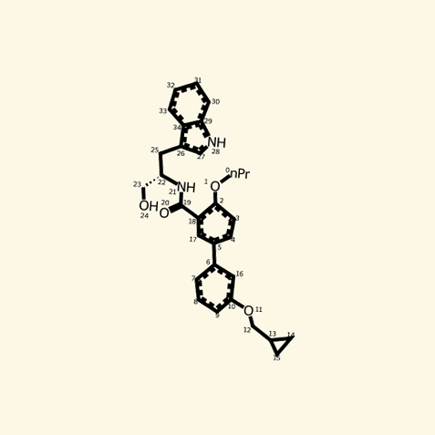 CCCOc1ccc(-c2cccc(OCC3CC3)c2)cc1C(=O)N[C@H](CO)Cc1c[nH]c2ccccc12